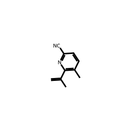 C=C(C)c1nc(C#N)ccc1C